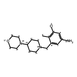 Cc1c(Cl)cc(N)cc1CN1CCC(N2CCOCC2)CC1